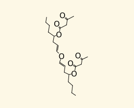 CCCCC(CC=COC=CCC(CCCC)OC(=O)CC(C)=O)OC(=O)CC(C)=O